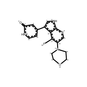 O=c1cc(-c2c[nH]c3ncc(N4CCOCC4)c(F)c23)cc[nH]1